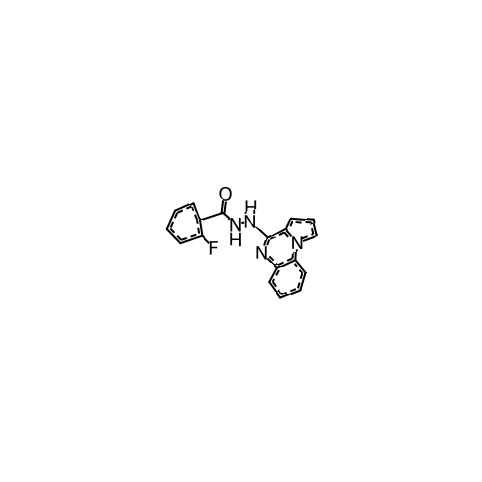 O=C(NNc1nc2ccccc2n2cccc12)c1ccccc1F